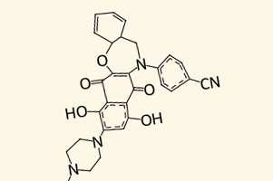 CN1CCN(c2cc(O)c3c(c2O)C(=O)C2=C(C3=O)N(c3ccc(C#N)cc3)CC3C=CC=CC3O2)CC1